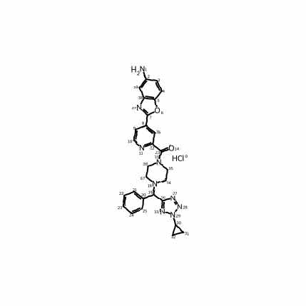 Cl.Nc1ccc2oc(-c3ccnc(C(=O)N4CCN(C(c5ccccc5)c5nnn(C6CC6)n5)CC4)c3)nc2c1